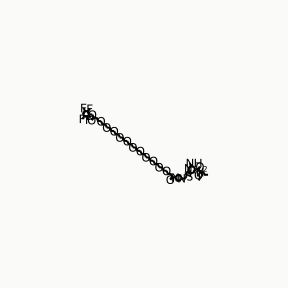 CCCN(OCC)C(=O)C1=Cc2sc(CN3CCN(C(=O)CCOCCOCCOCCOCCOCCOCCOCCOCCOCCOCCOCCC(=O)Oc4c(F)c(F)cc(F)c4F)CC3)cc2N=C(N)C1